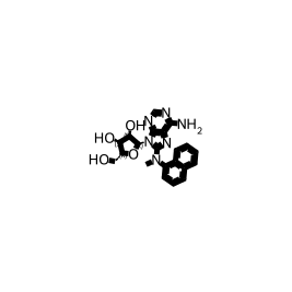 CN(c1cccc2ccccc12)c1nc2c(N)ncnc2n1[C@@H]1O[C@H](CO)[C@@H](O)[C@H]1O